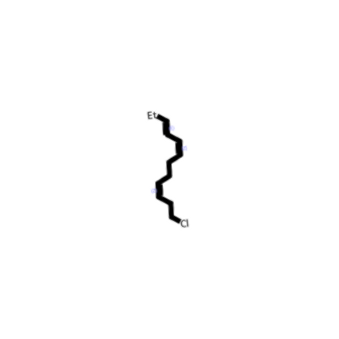 CC/C=C/C=C\CC/C=C\CCCl